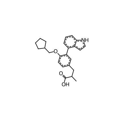 CC(Cc1ccc(OCC2CCCC2)c(-c2cccc3[nH]ccc23)c1)C(=O)O